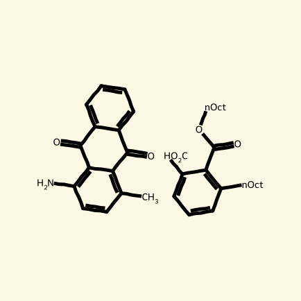 CCCCCCCCOC(=O)c1c(CCCCCCCC)cccc1C(=O)O.Cc1ccc(N)c2c1C(=O)c1ccccc1C2=O